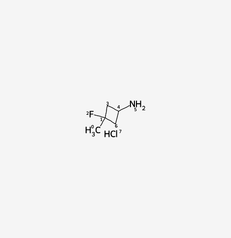 CC1(F)CC(N)C1.Cl